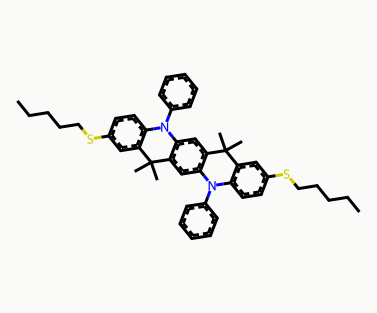 CCCCCSc1ccc2c(c1)C(C)(C)c1cc3c(cc1N2c1ccccc1)C(C)(C)c1cc(SCCCCC)ccc1N3c1ccccc1